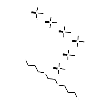 CP(=O)(O)O.CP(=O)(O)O.CP(=O)(O)O.CP(=O)(O)O.CP(=O)(O)O.CP(=O)(O)O.NCCCNCCNCCCN